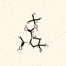 CC(=O)[C@H]1CC(F)(F)CN1C(=O)OC(C)(C)C